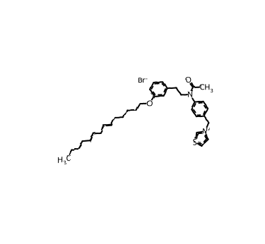 CCCCCCCCCCCCCCOc1cccc(CCN(C(C)=O)c2ccc(C[n+]3ccsc3)cc2)c1.[Br-]